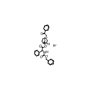 O=C(N[C@@H](C(=O)O[C@H]1C[N+]2(CC(=O)c3ccccc3)CCC1CC2)c1ccccc1)OCc1ccccc1.[Br-]